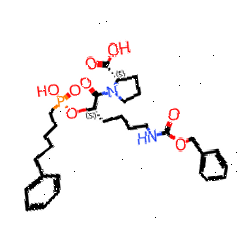 O=C(NCCCC[C@H](OP(=O)(O)CCCCCc1ccccc1)C(=O)N1CCC[C@H]1C(=O)O)OCc1ccccc1